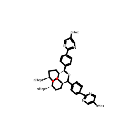 CCCCCCC[C@H]1CC[C@H](C(OC(c2ccc(-c3ncc(CCCCCC)cn3)cc2)[C@H]2CC[C@H](CCCCCCC)CC2)c2ccc(-c3ncc(CCCCCC)cn3)cc2)CC1